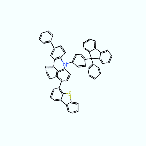 c1ccc(-c2ccc(N(c3ccc(-c4cccc5c4sc4ccccc45)cc3)c3ccc(C4(c5ccccc5)c5ccccc5-c5ccccc54)cc3)c(-c3ccccc3)c2)cc1